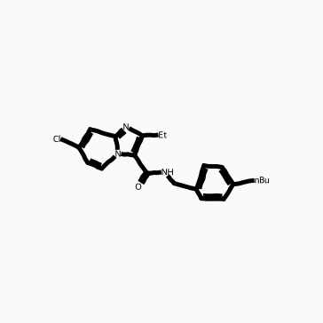 CCCCc1ccc(CNC(=O)c2c(CC)nc3cc(Cl)ccn23)cc1